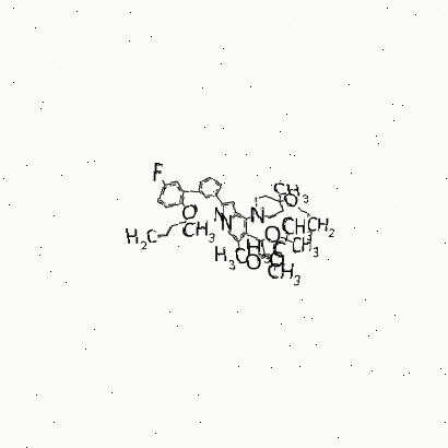 C=CCOC1(C)CCN(c2c(C(OC(C)(C)C)C(=O)OC)c(C)cn3nc(-c4cccc(-c5cc(F)ccc5OC(C)CC=C)c4)cc23)CC1